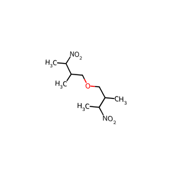 CC(COCC(C)C(C)[N+](=O)[O-])C(C)[N+](=O)[O-]